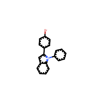 Brc1ccc(-c2cc3ccccc3n2-c2ccccc2)cc1